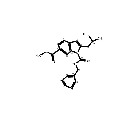 COC(=O)c1ccc2cc(CC(C)C)n(C(=O)OCc3ccccc3)c2c1